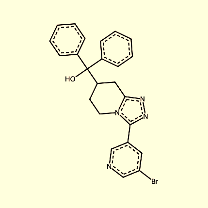 OC(c1ccccc1)(c1ccccc1)C1CCn2c(nnc2-c2cncc(Br)c2)C1